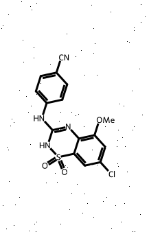 COc1cc(Cl)cc2c1N=C(Nc1ccc(C#N)cc1)NS2(=O)=O